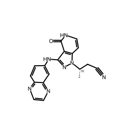 C[C@@H](CC#N)n1nc(Nc2ccc3nccnc3c2)c2c(=O)[nH]ccc21